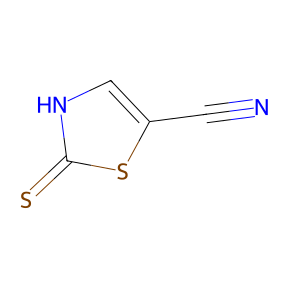 N#Cc1c[nH]c(=S)s1